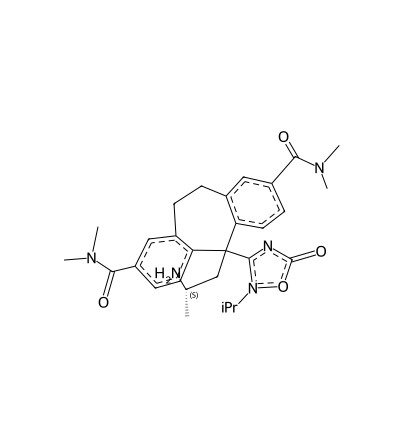 CC(C)n1oc(=O)nc1C1(C[C@H](C)N)c2ccc(C(=O)N(C)C)cc2CCc2cc(C(=O)N(C)C)ccc21